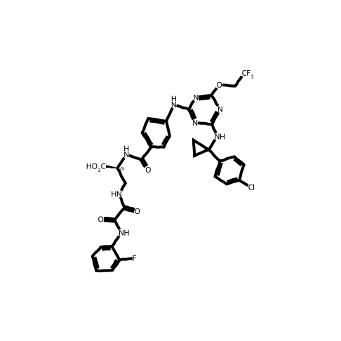 O=C(NC[C@H](NC(=O)c1ccc(Nc2nc(NC3(c4ccc(Cl)cc4)CC3)nc(OCC(F)(F)F)n2)cc1)C(=O)O)C(=O)Nc1ccccc1F